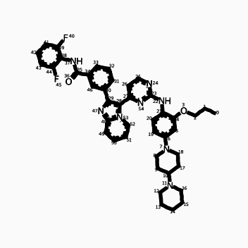 CCCOc1cc(N2CCC(N3CCCCC3)CC2)ccc1Nc1nccc(-c2c(-c3cccc(C(=O)Nc4c(F)cccc4F)c3)nc3ccccn23)n1